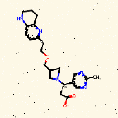 Cc1ncc([C@@H](CC(=O)O)N2CC(COCCc3ccc4c(n3)CCCN4)C2)cn1